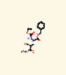 CCC[C@@H](C[C@H](NC(=O)OC(C)(C)C)C(=O)OCc1ccccc1)C(=O)OC